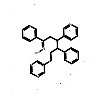 ON=C(CC(c1cccnc1)C(CCc1cccnc1)c1ccccc1)c1ccccc1